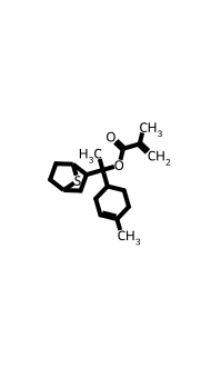 C=C(C)C(=O)OC(C)(C1CC=C(C)CC1)C1CC2CCC1S2